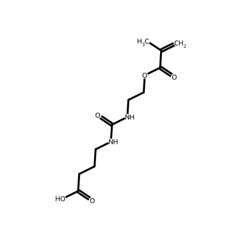 C=C(C)C(=O)OCCNC(=O)NCCCC(=O)O